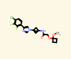 O=C(COC1(OC(F)(F)F)CCC1)NC12CC(n3cnc(-c4ccc(Cl)c(F)c4F)c3)(C1)C2